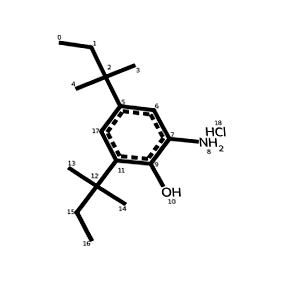 CCC(C)(C)c1cc(N)c(O)c(C(C)(C)CC)c1.Cl